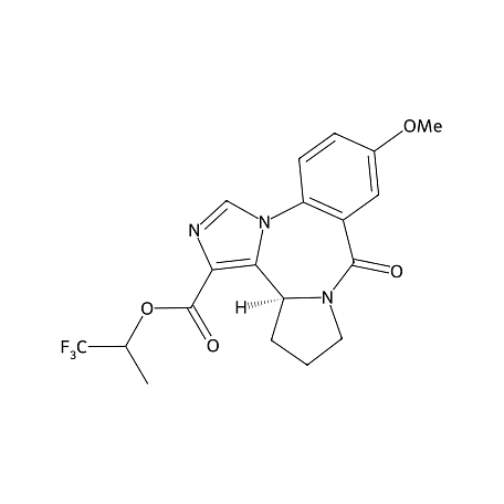 COc1ccc2c(c1)C(=O)N1CCC[C@H]1c1c(C(=O)OC(C)C(F)(F)F)ncn1-2